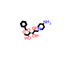 NC1CCN(CC(O)C(O)[C@@H]2OC(c3ccccc3)OC[C@H]2O)CC1